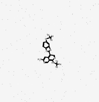 [2H]C([2H])([2H])Nc1ncc(-c2nc3cc(OC([2H])([2H])[2H])ccc3o2)c2cc(N)ncc12